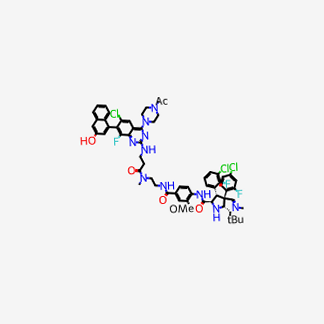 C/N=C/[C@]1(c2ccc(Cl)cc2F)[C@H](CC(C)(C)C)N[C@@H](C(=O)Nc2ccc(C(=O)NCCN(C)C(=O)CCNc3nc(N4CCN(C(C)=O)CC4)c4cc(Cl)c(-c5cc(O)cc6ccccc56)c(F)c4n3)cc2OC)[C@@H]1c1cccc(Cl)c1F